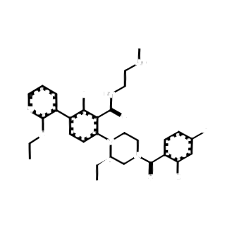 CCOc1ncccc1-c1ccc(N2CCN(C(=O)c3ccc(F)cc3Cl)C[C@H]2CC)c(C(=O)NCCNC)c1F